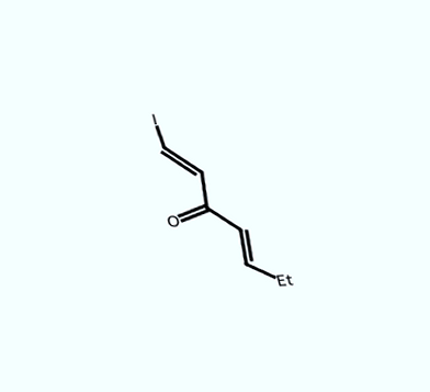 CCC=CC(=O)C=CI